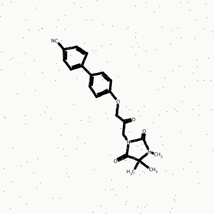 CN1C(=O)N(CC(=O)COc2ccc(-c3ccc(C#N)cc3)cc2)C(=O)C1(C)C